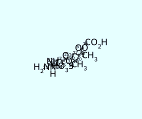 CS(=O)(=O)O.C[C@H](C(=O)OCC(=O)O)c1ccc(OC(=O)c2ccc(NC(=N)N)cc2)cc1